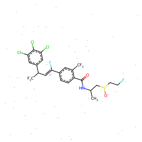 CC(C[S+]([O-])CCF)NC(=O)c1ccc(/C(F)=C/C(c2cc(Cl)c(Cl)c(Cl)c2)C(F)(F)F)cc1C(F)(F)F